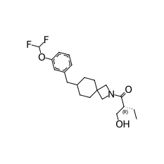 CC[C@H](CO)C(=O)N1CC2(CCC(Cc3cccc(OC(F)F)c3)CC2)C1